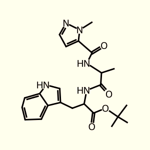 CC(NC(=O)c1ccnn1C)C(=O)NC(Cc1c[nH]c2ccccc12)C(=O)OC(C)(C)C